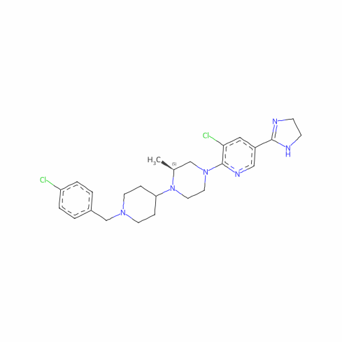 C[C@H]1CN(c2ncc(C3=NCCN3)cc2Cl)CCN1C1CCN(Cc2ccc(Cl)cc2)CC1